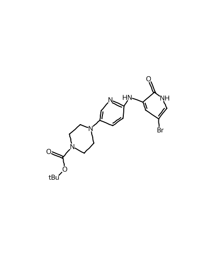 CC(C)(C)OC(=O)N1CCN(c2ccc(Nc3cc(Br)c[nH]c3=O)nc2)CC1